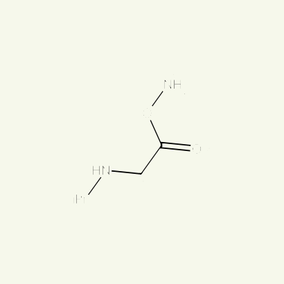 CC(C)NCC(=O)ON